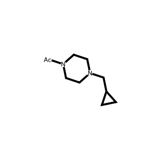 CC(=O)N1CCN(CC2CC2)CC1